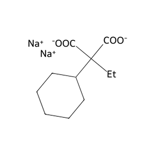 CCC(C(=O)[O-])(C(=O)[O-])C1CCCCC1.[Na+].[Na+]